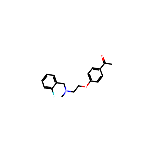 CC(=O)c1ccc(OCCN(C)Cc2ccccc2F)cc1